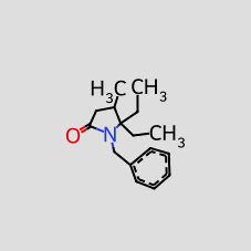 CCC1(CC)C(C)CC(=O)N1Cc1ccccc1